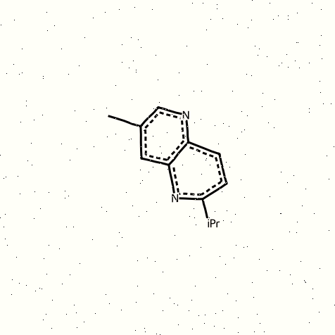 Cc1cnc2ccc(C(C)C)nc2c1